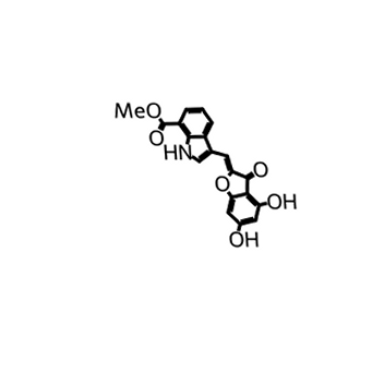 COC(=O)c1cccc2c(C=C3Oc4cc(O)cc(O)c4C3=O)c[nH]c12